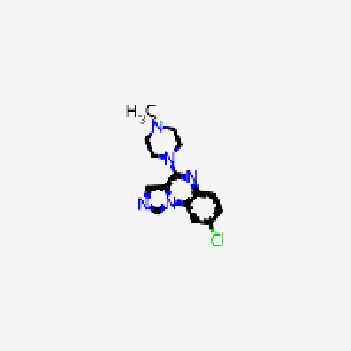 CN1CCN(c2nc3ccc(Cl)cc3n3cncc23)CC1